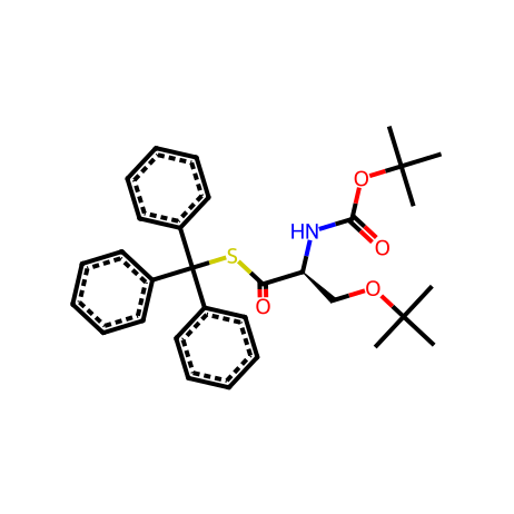 CC(C)(C)OC[C@H](NC(=O)OC(C)(C)C)C(=O)SC(c1ccccc1)(c1ccccc1)c1ccccc1